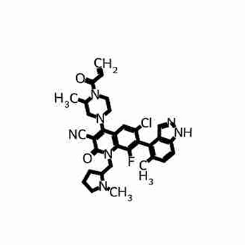 C=CC(=O)N1CCN(c2c(C#N)c(=O)n(CC3CCCN3C)c3c(F)c(-c4c(C)ccc5[nH]ncc45)c(Cl)cc23)CC1C